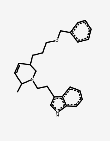 CC1C=CC(CCCOCc2ccccc2)CN1CCc1c[nH]c2ccccc12